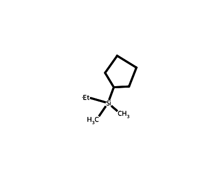 C[CH][Si](C)(C)C1CCCC1